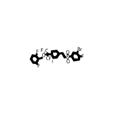 O=S(=O)(/C=C/c1ccc(C(OCc2c(F)cccc2F)(C(F)(F)F)C(F)(F)F)cc1)c1ccc(F)c(Br)c1